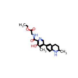 CCOC(=O)CNC(=O)c1ncc(-c2ccc3c(c2)CCC(C)N3)c(C)c1O